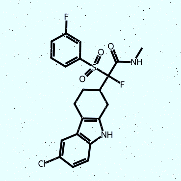 CNC(=O)C(F)(C1CCc2c([nH]c3ccc(Cl)cc23)C1)S(=O)(=O)c1cccc(F)c1